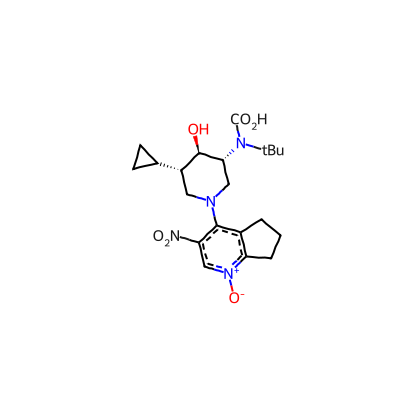 CC(C)(C)N(C(=O)O)[C@@H]1CN(c2c([N+](=O)[O-])c[n+]([O-])c3c2CCC3)C[C@H](C2CC2)[C@H]1O